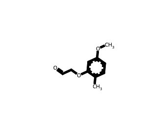 COc1ccc(C)c(OC[C]=O)c1